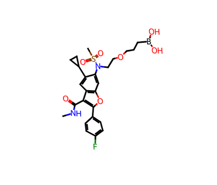 CNC(=O)c1c(-c2ccc(F)cc2)oc2cc(N(CCOCCCB(O)O)S(C)(=O)=O)c(C3CC3)cc12